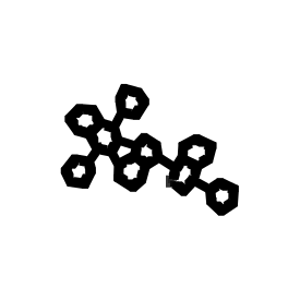 c1ccc(-c2cnc(-c3ccc4c5c(cccc35)-c3c-4c(-c4ccccc4)c4ccccc4c3-c3ccccc3)c3ccccc23)cc1